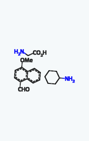 COc1ccc(C=O)c2ccccc12.NC1CCCCC1.NCC(=O)O